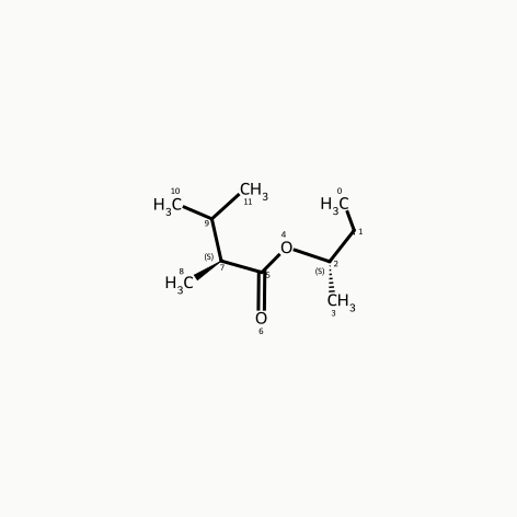 C[CH][C@H](C)OC(=O)[C@@H](C)C(C)C